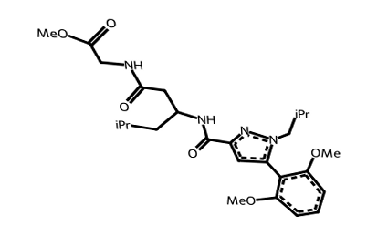 COC(=O)CNC(=O)CC(CC(C)C)NC(=O)c1cc(-c2c(OC)cccc2OC)n(CC(C)C)n1